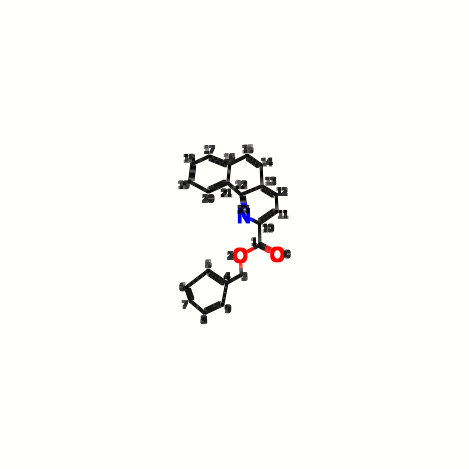 O=C(OCc1ccccc1)c1ccc2ccc3ccccc3c2n1